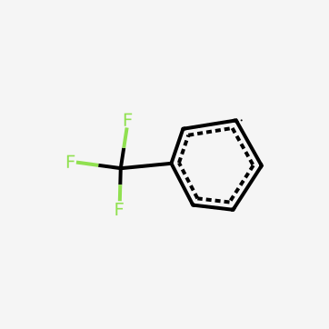 FC(F)(F)c1c[c]ccc1